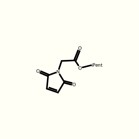 CCCC(C)OC(=O)CN1C(=O)C=CC1=O